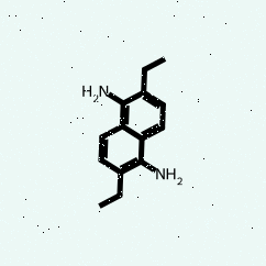 CCc1ccc2c(N)c(CC)ccc2c1N